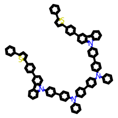 c1ccc(-c2ccc(-c3ccc(-c4ccc5c(c4)c4ccccc4n5-c4ccc(-c5ccc(N(c6ccccc6)c6ccc(-c7ccc(N(c8ccccc8)c8ccc(-c9ccc(-n%10c%11ccccc%11c%11cc(-c%12ccc(-c%13ccc(-c%14ccccc%14)s%13)cc%12)ccc%11%10)cc9)cc8)cc7)cc6)cc5)cc4)cc3)s2)cc1